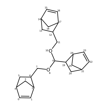 C1=CC2CC1CC2COC(OCC1CC2C=CC1C2)C1CC2C=CC1C2